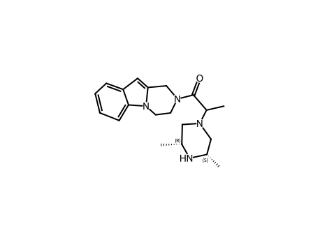 CC(C(=O)N1CCn2c(cc3ccccc32)C1)N1C[C@@H](C)N[C@@H](C)C1